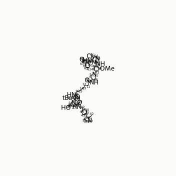 COc1cc(N2CCC(NC(=O)CCCCCCC(=O)N[C@H](C(=O)N3C[C@H](O)C[C@H]3C(=O)NCc3ccc(-c4scnc4C)cc3)C(C)(C)C)CC2)ccc1Nc1ncc(Cl)c(Nc2ccccc2P(C)(C)=O)n1